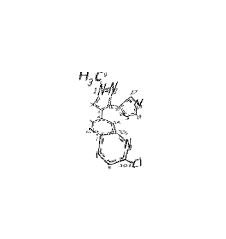 Cn1cc(-c2cnc3ccc(Cl)nc3c2)c(-c2cncs2)n1